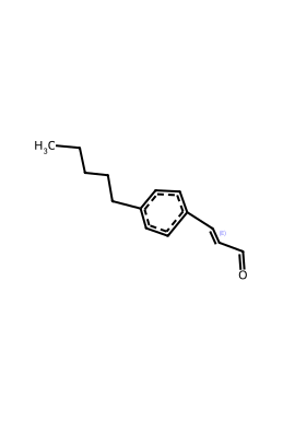 CCCCCc1ccc(/C=C/C=O)cc1